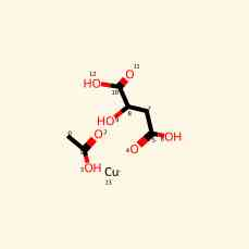 CC(=O)O.O=C(O)CC(O)C(=O)O.[Cu]